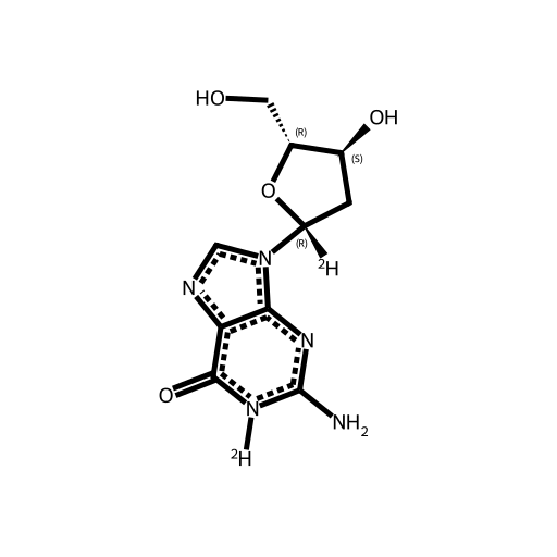 [2H]n1c(N)nc2c(ncn2[C@@]2([2H])C[C@H](O)[C@@H](CO)O2)c1=O